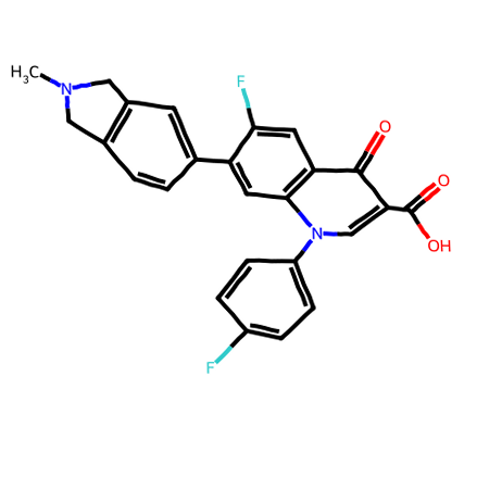 CN1Cc2ccc(-c3cc4c(cc3F)c(=O)c(C(=O)O)cn4-c3ccc(F)cc3)cc2C1